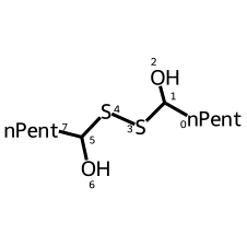 CCCCCC(O)SSC(O)CCCCC